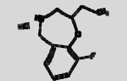 CCC1CNCc2cccc(F)c2O1.Cl